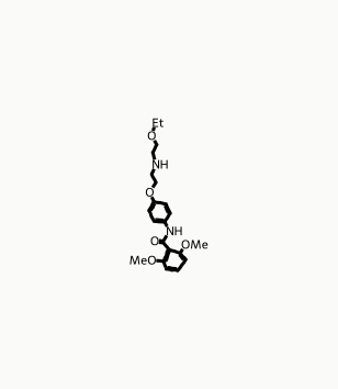 CCOCCNCCOc1ccc(NC(=O)c2c(OC)cccc2OC)cc1